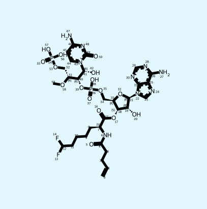 C=CCCC(=O)N[C@@H](CCCCC(F)F)C(=O)O[C@H]1[C@@H](O)[C@H](n2cnc3c(N)ncnc32)O[C@@H]1COP(=O)(O)O[C@@H]([C@@H](O)n1ccc(N)nc1=O)[C@@H](COP(=O)(O)O)OC